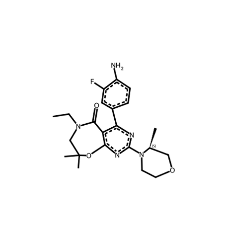 CCN1CC(C)(C)Oc2nc(N3CCOC[C@@H]3C)nc(-c3ccc(N)c(F)c3)c2C1=O